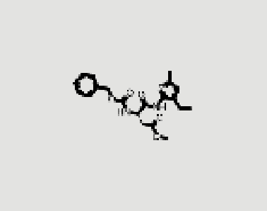 CCc1cc(C)sc1NC(=O)[C@H](CC(=O)OC)NC(=O)OCc1ccccc1